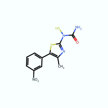 Cc1nc(N(S)C(N)=O)sc1-c1cccc([N+](=O)[O-])c1